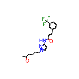 CC(=O)CCCCn1ccc(NC(=O)/C=C/c2cccc(C(F)(F)F)c2)n1